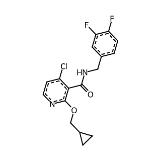 O=C(NCc1ccc(F)c(F)c1)c1c(Cl)ccnc1OCC1CC1